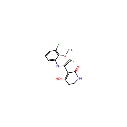 C=C(Nc1cccc(Cl)c1OC)C1=C(O)CCNC1=O